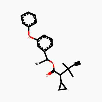 C#CC(C)(C)C(C(=O)OC(C#N)c1cccc(Oc2ccccc2)c1)C1CC1